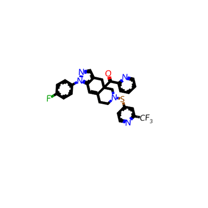 O=C(c1ccccn1)C12Cc3cnn(-c4ccc(F)cc4)c3C=C1CCN(Sc1ccnc(C(F)(F)F)c1)C2